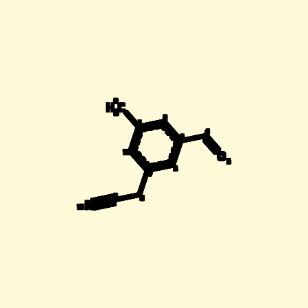 Cc1cc(C=O)cc(CC#N)c1